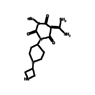 CCCCN1C(=O)C(=C(N)N)C(=O)N(C2CCN(C3CNC3)CC2)C1=O